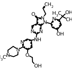 C=CCn1c(=O)c2cnc(Nc3cnc(N4CCN(C)CC4)c(OCCO)c3)nc2n1-c1cc(O)cc(C(C)(C)O)n1